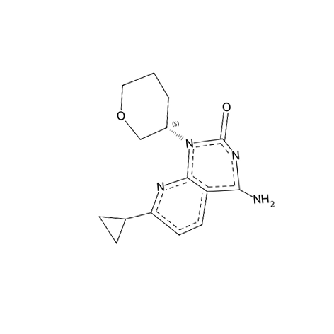 Nc1nc(=O)n([C@H]2CCCOC2)c2nc(C3CC3)ccc12